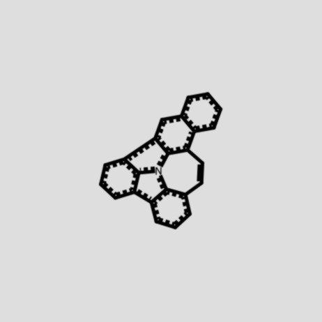 C1=Cc2c3ccccc3cc3c4cccc5c6cccc1c6n(c23)c54